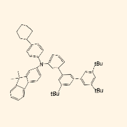 CC(C)(C)c1cc(-c2cccc(N(c3ccc(C4CCCCC4)cc3)c3ccc4c(c3)C(C)(C)c3ccccc3-4)c2)cc(-c2cc(C(C)(C)C)cc(C(C)(C)C)c2)c1